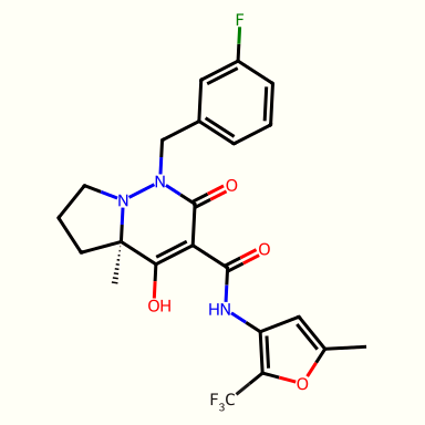 Cc1cc(NC(=O)C2=C(O)[C@@]3(C)CCCN3N(Cc3cccc(F)c3)C2=O)c(C(F)(F)F)o1